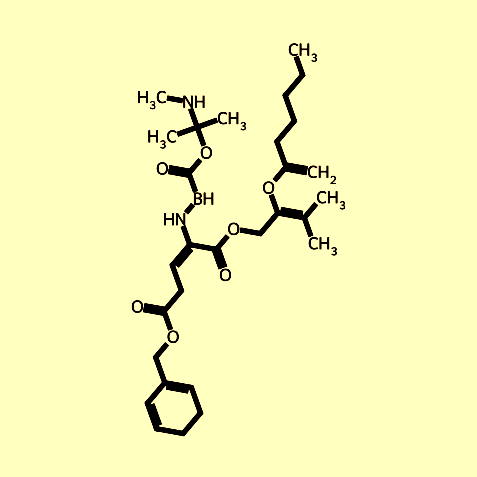 C=C(CCCCC)OC(COC(=O)/C(=C\CC(=O)OCC1=CCCC=C1)NBC(=O)OC(C)(C)NC)=C(C)C